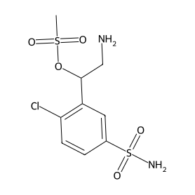 CS(=O)(=O)OC(CN)c1cc(S(N)(=O)=O)ccc1Cl